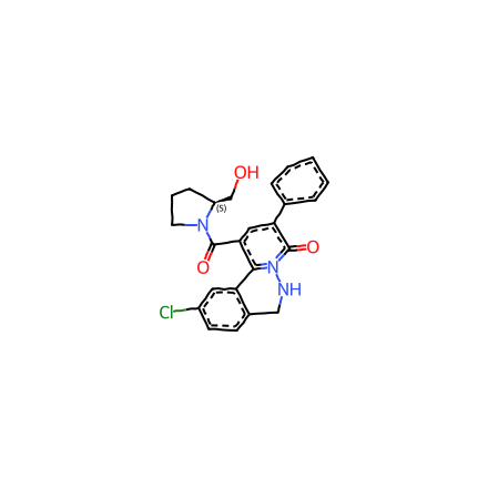 O=C(c1cc(-c2ccccc2)c(=O)n2c1-c1cc(Cl)ccc1CN2)N1CCC[C@H]1CO